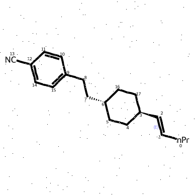 CCC/C=C/[C@H]1CC[C@H](CCc2ccc(C#N)cc2)CC1